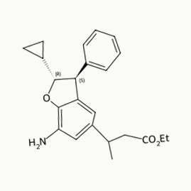 CCOC(=O)CC(C)c1cc(N)c2c(c1)[C@H](c1ccccc1)[C@@H](C1CC1)O2